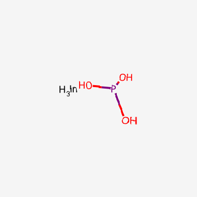 OP(O)O.[InH3]